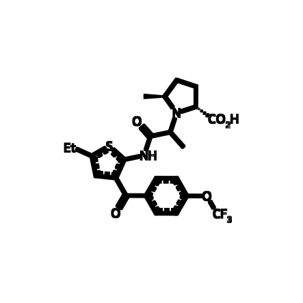 CCc1cc(C(=O)c2ccc(OC(F)(F)F)cc2)c(NC(=O)C(C)N2[C@@H](C(=O)O)CC[C@@H]2C)s1